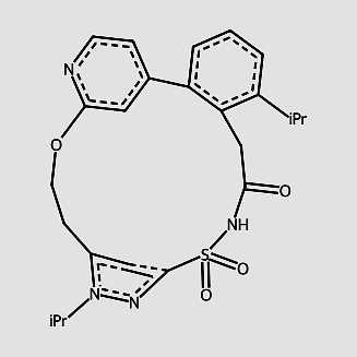 CC(C)c1cccc2c1CC(=O)NS(=O)(=O)c1cc(n(C(C)C)n1)CCOc1cc-2ccn1